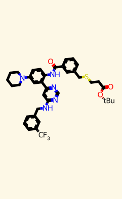 CC(C)(C)OC(=O)CCSCc1cccc(C(=O)Nc2ccc(N3CCCCC3)cc2-c2cc(NCc3cccc(C(F)(F)F)c3)ncn2)c1